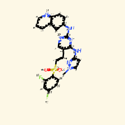 Cn1ccc(Nc2nc(Nc3ccc4ncccc4c3)ncc2C=CS(=O)(=O)c2ccc(F)cc2F)n1